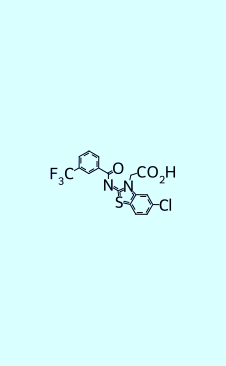 O=C(O)Cn1c(=NC(=O)c2cccc(C(F)(F)F)c2)sc2ccc(Cl)cc21